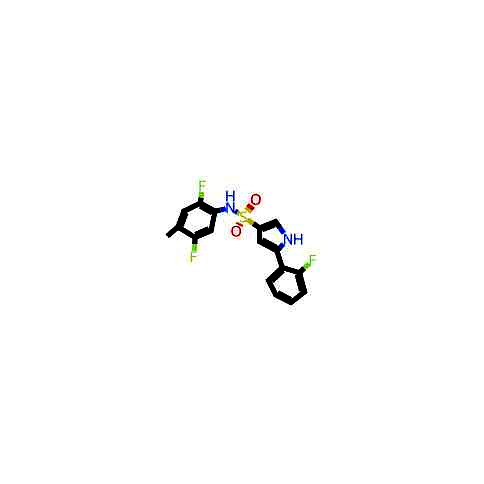 Cc1cc(F)c(NS(=O)(=O)c2c[nH]c(-c3ccccc3F)c2)cc1F